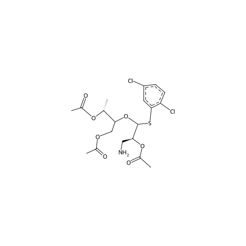 CC(=O)OCC(OC(Sc1cc(Cl)ccc1Cl)[C@H](CN)OC(C)=O)[C@@H](C)OC(C)=O